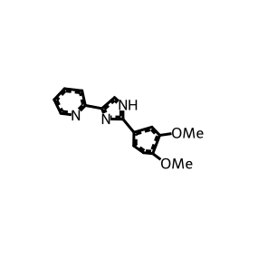 COc1ccc(-c2nc(-c3ccccn3)c[nH]2)cc1OC